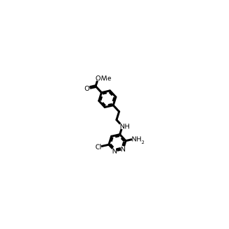 COC(=O)c1ccc(CCNc2cc(Cl)nnc2N)cc1